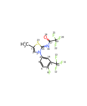 Cc1cn(-c2ccc(F)c(C(F)(F)F)c2)c(=NC(=O)C(F)(F)F)s1